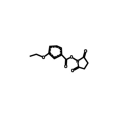 CCOc1cccc(C(=O)ON2C(=O)CCC2=O)c1